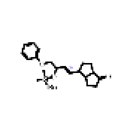 CC(C)(C)[Si](C)(C)OC(/C=C/C1CCC2C(=O)CCC12)COc1ccccc1